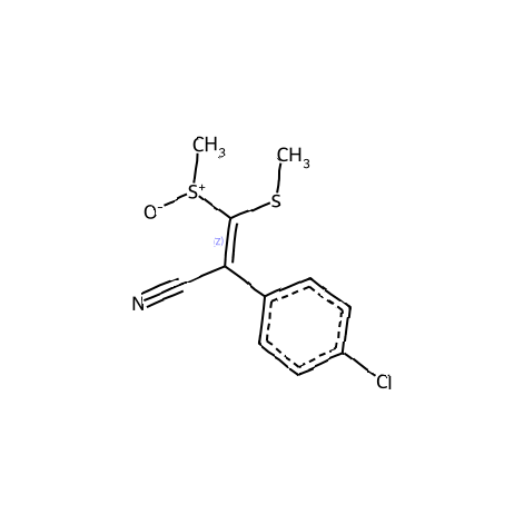 CS/C(=C(/C#N)c1ccc(Cl)cc1)[S+](C)[O-]